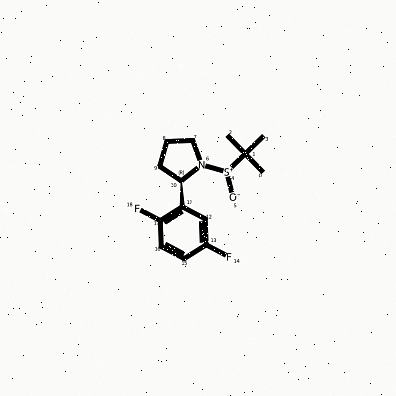 CC(C)(C)[S+]([O-])N1CCC[C@@H]1c1cc(F)ccc1F